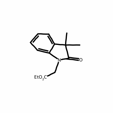 CCOC(=O)CN1C(=O)C(C)(C)c2ccccc21